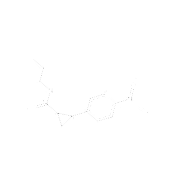 C=CCNC(=O)C1CC1c1ccc([N+](=O)[O-])cc1